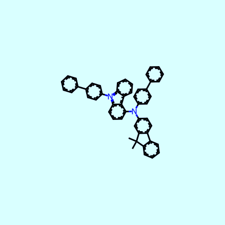 CC1(C)c2ccccc2-c2ccc(N(c3ccc(-c4ccccc4)cc3)c3cccc4c3c3ccccc3n4-c3ccc(-c4ccccc4)cc3)cc21